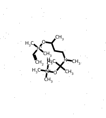 C=C[N+](C)(C)OC(C)CCN(C)C(C)(C)O[N+](C)(C)C